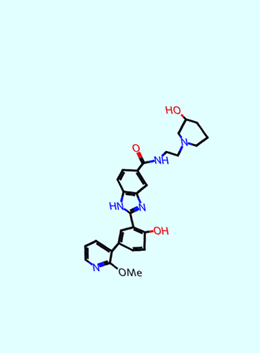 COc1ncccc1-c1ccc(O)c(-c2nc3cc(C(=O)NCCN4CCCC(O)C4)ccc3[nH]2)c1